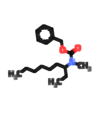 CCCCCCC(CC)N(C)C(=O)OCc1ccccc1